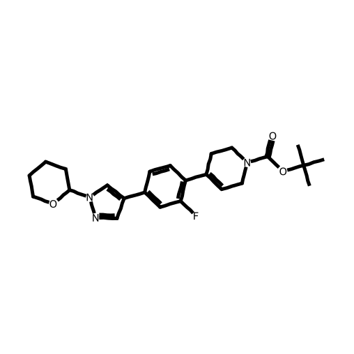 CC(C)(C)OC(=O)N1CC=C(c2ccc(-c3cnn(C4CCCCO4)c3)cc2F)CC1